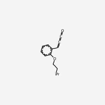 CC(C)CCOc1ccccc1C=C=C=O